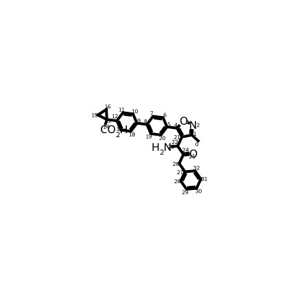 Cc1noc(-c2ccc(-c3ccc(C4(C(=O)O)CC4)cc3)cc2)c1C(N)C(=O)Cc1ccccc1